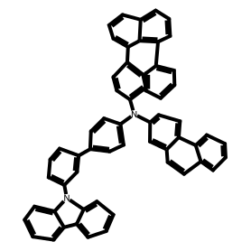 c1ccc(-c2cccc3cccc(-c4ccc(N(c5ccc(-c6cccc(-n7c8ccccc8c8ccccc87)c6)cc5)c5ccc6c(ccc7ccccc76)c5)cc4)c23)cc1